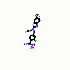 CCCCN(Cc1ccc(C(=N)NO)c(F)c1)c1nc2ccc(C(F)(F)F)cc2s1